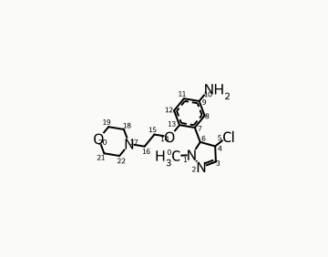 CN1N=CC(Cl)C1c1cc(N)ccc1OCCN1CCOCC1